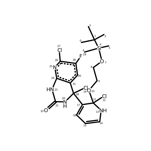 CC(C)(C)[Si](C)(C)OCCOC1(Cl)NC=CC=C1C1(Cl)NC(=O)Nc2nc(Cl)c(F)cc21